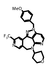 COc1ccc(Cn2nc3c4c(nccc42)N(C2CCOCC2)Cc2cnc(C(F)(F)F)cc2-3)cc1